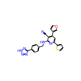 N#Cc1c(-c2ccoc2)cc(-c2cccs2)nc1NCc1ccc(-c2nn[nH]n2)cc1